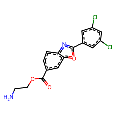 NCCOC(=O)c1ccc2nc(-c3cc(Cl)cc(Cl)c3)oc2c1